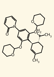 C=C(C)[C@@H]1CCC(C)=C[C@H]1c1c(OC2CCCCO2)cc(-n2ccccc2=O)cc1OC1CCCCO1